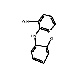 O=[N+]([O-])c1cccnc1Nc1ccccc1Cl